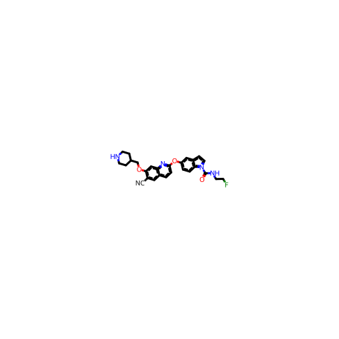 N#Cc1cc2ccc(Oc3ccc4c(ccn4C(=O)NCCF)c3)nc2cc1OCC1CCNCC1